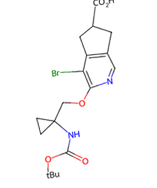 CC(C)(C)OC(=O)NC1(COc2ncc3c(c2Br)CC(C(=O)O)C3)CC1